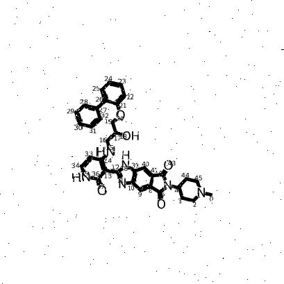 CN1CCC(N2C(=O)c3cc4nc(-c5c(NCC(O)COc6ccccc6-c6ccccc6)cc[nH]c5=O)[nH]c4cc3C2=O)CC1